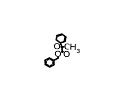 CC1(C(=O)OCc2ccccc2)OC12C=CC=CC2